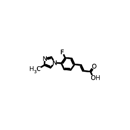 Cc1cn(-c2ccc(C=CC(=O)O)cc2F)cn1